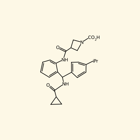 CC(C)c1ccc(C(NC(=O)C2CC2)c2ccccc2NC(=O)C2CN(C(=O)O)C2)cc1